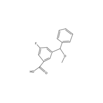 COC(c1ccccc1)c1cc(F)cc(C(=O)O)c1